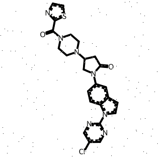 O=C(c1nccs1)N1CCN(C2CC(=O)N(c3ccc4c(ccn4-c4ncc(Cl)cn4)c3)C2)CC1